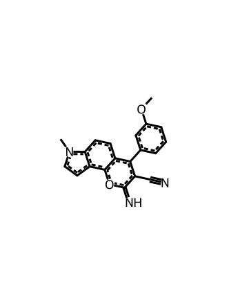 COc1cccc(-c2c(C#N)c(=N)oc3c2ccc2c3ccn2C)c1